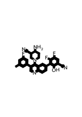 Cc1cc(F)cc(-c2cnc3ccc(-c4c(O)c(C#N)cc(F)c4F)cc3c2N2CCC(N)C(C#N)C2)c1